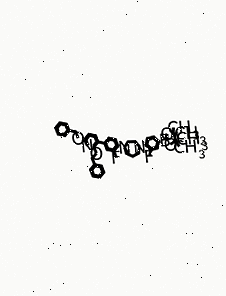 CC1(C)OB(c2ccc(N3CCCN(c4ccc(-c5ccc(OCc6ccccc6)nc5OCc5ccccc5)cc4F)CC3)c(F)c2)OC1(C)C